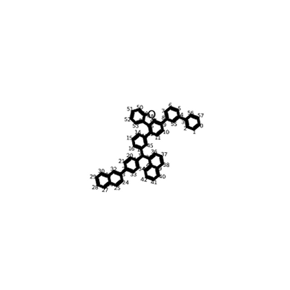 c1ccc(-c2cccc(-c3ccc(-c4cccc(C(c5ccc(-c6ccc7ccccc7c6)cc5)c5cccc6ccccc56)c4)c4c3oc3ccccc34)c2)cc1